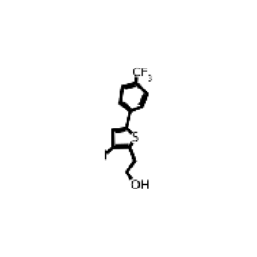 OCCc1sc(-c2ccc(C(F)(F)F)cc2)cc1I